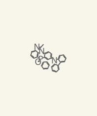 Cc1nc2cccc3c2n1-c1ccc(-n2c4ccccc4c4ccccc42)cc1P3(=O)c1ccccc1